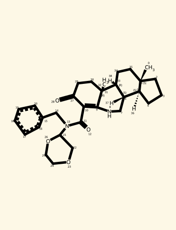 C[C@@]12CCC[C@H]1[C@@H]1CNC3=C(C(=O)N(Cc4ccccc4)C4COCCO4)C(=O)CC[C@]3(C)[C@@H]1CC2